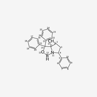 CC12CCC(c3ccccc3)N1BOC2(c1ccccc1)c1ccccc1